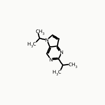 CC(C)c1ncc2c(ccn2C(C)C)n1